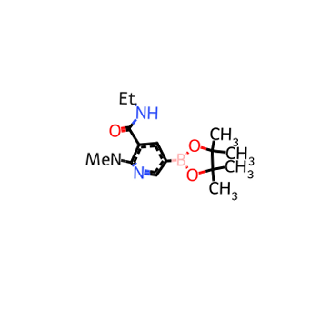 CCNC(=O)c1cc(B2OC(C)(C)C(C)(C)O2)cnc1NC